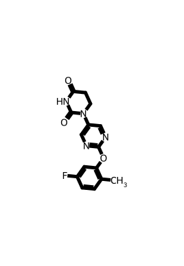 Cc1ccc(F)cc1Oc1ncc(N2CCC(=O)NC2=O)cn1